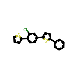 Clc1cc(-c2ccc(-c3ccccc3)s2)ccc1-c1cccs1